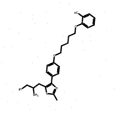 Cc1nc(-c2ccc(OCCCCCOc3ccccc3C#N)cc2)c(CC(N)CC(C)C)s1